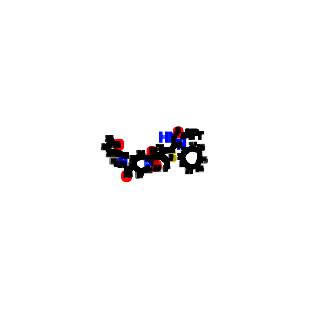 Cc1sc(C2NOC(C(C)C)N2C2CCCCCCC2)cc1S(=O)(=O)N1CCC(C(=O)N(C)Cc2ccco2)CC1